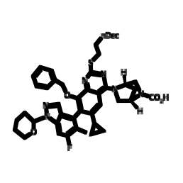 CCCCCCCCCCCCSc1nc(N2C[C@@H]3C[C@H]2CN3C(=O)O)c2cc(C3CC3)c(-c3c(C)c(F)cc4c3cnn4C3CCCCO3)c(OCc3ccccc3)c2n1